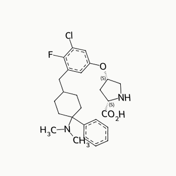 CN(C)C1(c2ccccc2)CCC(Cc2cc(O[C@@H]3CN[C@H](C(=O)O)C3)cc(Cl)c2F)CC1